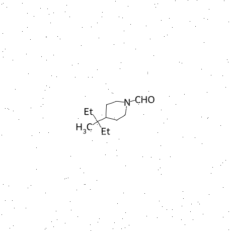 CCC(C)(CC)C1CCN(C=O)CC1